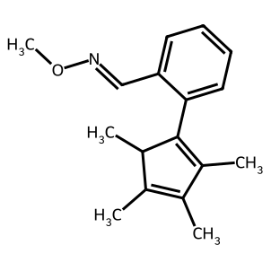 CON=Cc1ccccc1C1=C(C)C(C)=C(C)C1C